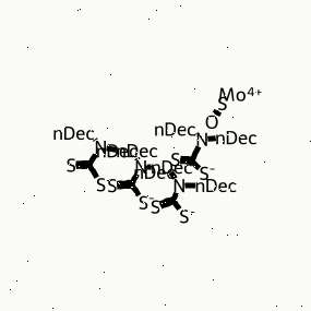 CCCCCCCCCCN(CCCCCCCCCC)C(=S)[S-].CCCCCCCCCCN(CCCCCCCCCC)C(=S)[S-].CCCCCCCCCCN(CCCCCCCCCC)C(=S)[S-].CCCCCCCCCCN(CCCCCCCCCC)C(=S)[S-].O=S.[Mo+4]